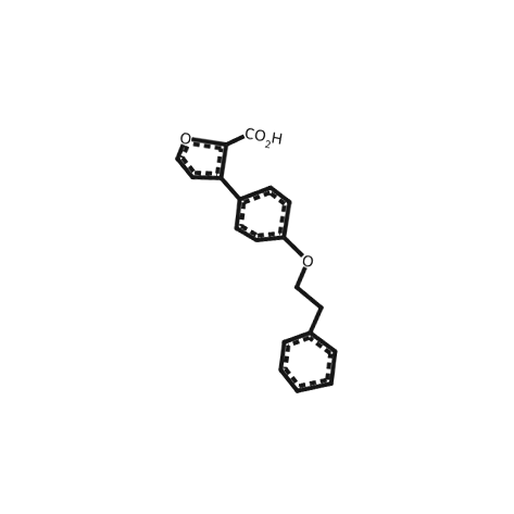 O=C(O)c1occc1-c1ccc(OCCc2ccccc2)cc1